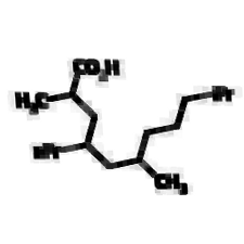 CCCC(CC(C)CCCC(C)C)CC(C)C(=O)O